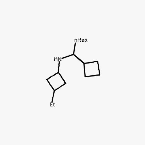 CCCCCCC(NC1CC(CC)C1)C1CCC1